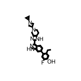 CCc1cc(O)c(F)cc1-c1ccc2c(-c3nc4c([nH]3)CCN(C3CN(C5CC5)C3)C4)n[nH]c2c1